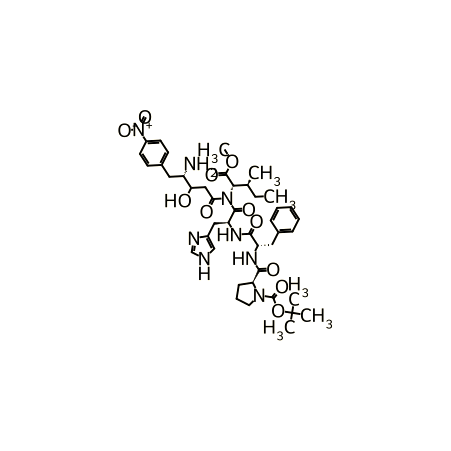 CC[C@H](C)[C@@H](C(=O)OC)N(C(=O)CC(O)[C@@H](N)Cc1ccc([N+](=O)[O-])cc1)C(=O)[C@H](Cc1c[nH]cn1)NC(=O)[C@H](Cc1ccccc1)NC(=O)[C@@H]1CCCN1C(=O)OC(C)(C)C